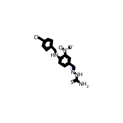 NC(=S)N/N=C/c1ccc(NCc2ccc(Cl)cc2)c([N+](=O)[O-])c1